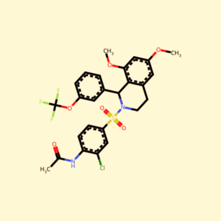 COc1cc2c(c(OC)c1)C(c1cccc(OC(F)(F)F)c1)N(S(=O)(=O)c1ccc(NC(C)=O)c(Cl)c1)CC2